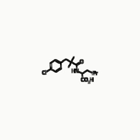 CC(C)CC(NC(=O)C(C)(C)Cc1ccc(Cl)cc1)C(=O)O